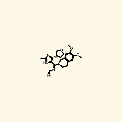 COc1cc2c(cc1OC)CN(/C(=N/C=N)c1[nH]c(C)nc1[C@H]1CCOC1)CC2